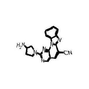 N#Cc1cc2cnc(N3CCC(N)C3)nc2n2c1nc1ccccc12